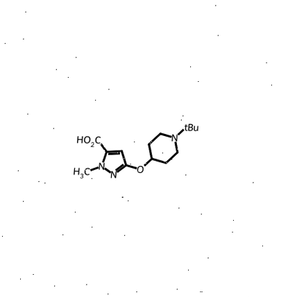 Cn1nc(OC2CCN(C(C)(C)C)CC2)cc1C(=O)O